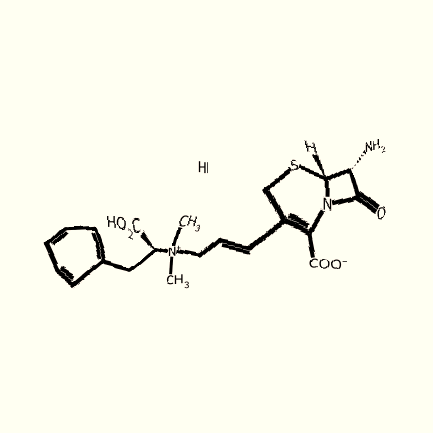 C[N+](C)(C/C=C/C1=C(C(=O)[O-])N2C(=O)[C@@H](N)[C@H]2SC1)[C@@H](Cc1ccccc1)C(=O)O.I